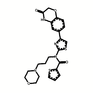 O=C1COc2ccc(-c3csc(N(CCCN4CCOCC4)C(=O)c4cccs4)n3)cc2N1